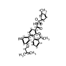 Cc1cccc(S(=O)(=O)NC(=O)c2ccc(-c3cc(F)cc(OCC(C)C)c3)nc2OC(C)c2ccccc2)n1